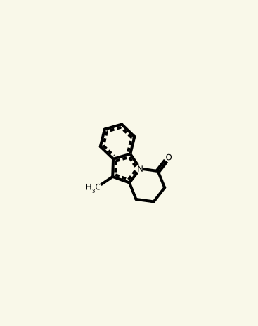 Cc1c2n(c3ccccc13)C(=O)CCC2